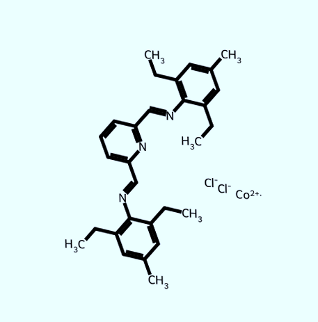 CCc1cc(C)cc(CC)c1N=Cc1cccc(C=Nc2c(CC)cc(C)cc2CC)n1.[Cl-].[Cl-].[Co+2]